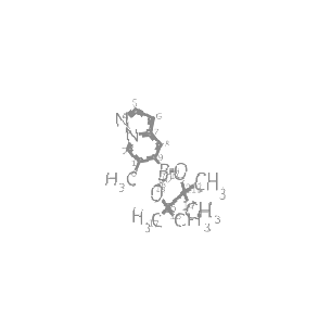 Cc1cn2nccc2cc1B1OC(C)(C)C(C)(C)O1